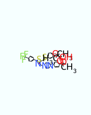 CC(=O)c1ccc(N2CCN(Cc3nc(-c4ccc(C(F)(F)F)cc4)sc3CSc3ccc(OC(C)(C)C(=O)O)cc3)CC2)cc1